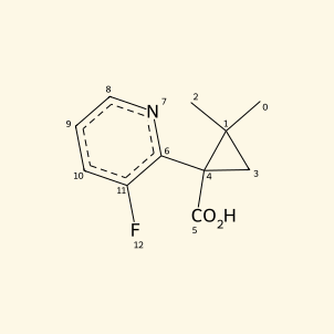 CC1(C)CC1(C(=O)O)c1ncccc1F